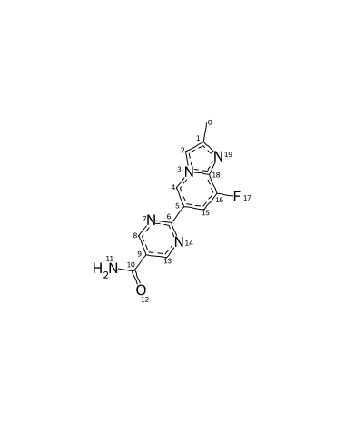 Cc1cn2cc(-c3ncc(C(N)=O)cn3)cc(F)c2n1